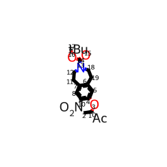 CC(=O)C(C)Oc1cc2c(cc1[N+](=O)[O-])CCN(C(=O)OC(C)(C)C)CC2